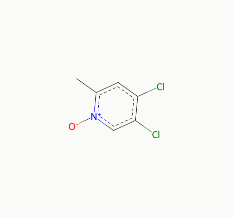 Cc1cc(Cl)c(Cl)c[n+]1[O-]